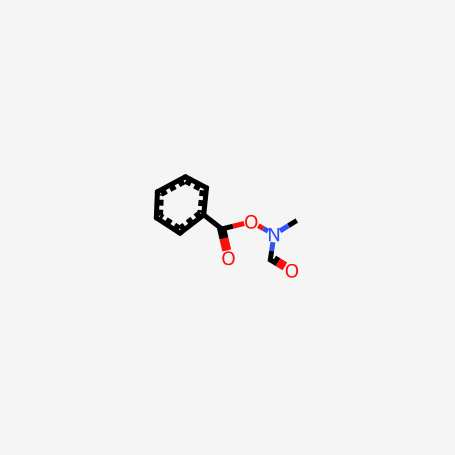 CN(C=O)OC(=O)c1ccccc1